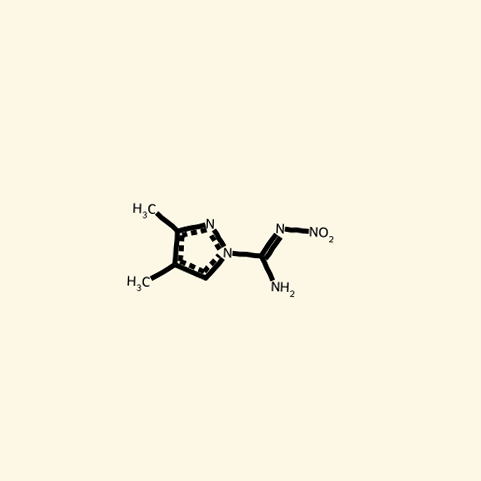 Cc1cn(C(N)=N[N+](=O)[O-])nc1C